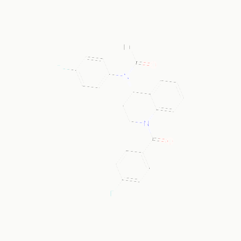 CCC(=O)N(c1ccc(F)cc1)[C@H]1C[C@@H](C)N(C(=O)c2ccc(F)cc2)c2ccccc21